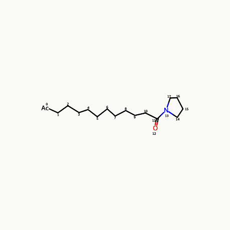 CC(=O)CCCCCCCCCCC(=O)N1CCCC1